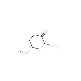 CO[C@@H]1CCC(=O)[C@@H](C)O1